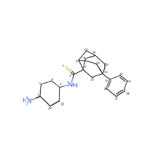 NC1CCC(NC(=S)C23CC4CC2CC(c2ccccc2)(C4)C3)CC1